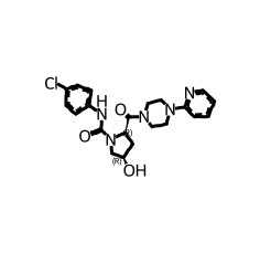 O=C([C@H]1C[C@@H](O)CN1C(=O)Nc1ccc(Cl)cc1)N1CCN(c2ccccn2)CC1